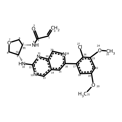 C=CC(=O)N[C@H]1COC[C@H]1Nc1ncc2cc(-c3cc(OC)cc(OC)c3Cl)ncc2n1